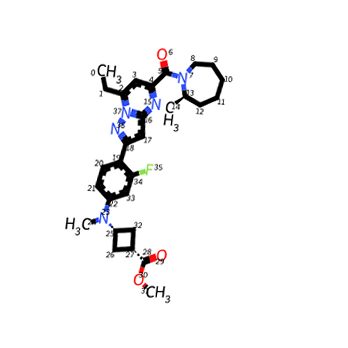 CCc1cc(C(=O)N2CCCCC[C@H]2C)nc2cc(-c3ccc(N(C)[C@H]4C[C@@H](C(=O)OC)C4)cc3F)nn12